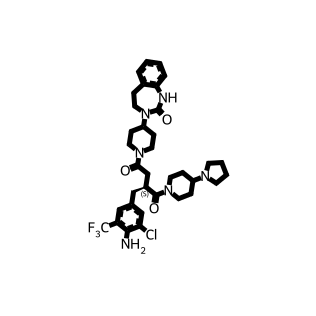 Nc1c(Cl)cc(C[C@@H](CC(=O)N2CCC(N3CCc4ccccc4NC3=O)CC2)C(=O)N2CCC(N3CCCC3)CC2)cc1C(F)(F)F